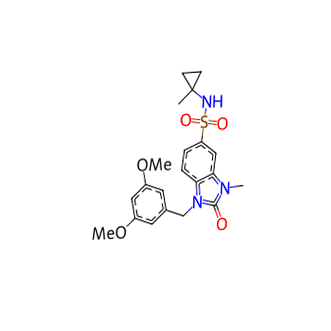 COc1cc(Cn2c(=O)n(C)c3cc(S(=O)(=O)NC4(C)CC4)ccc32)cc(OC)c1